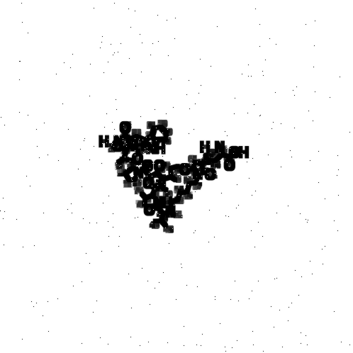 CCC(C)C(C(CC(=O)N1CCC[C@H]1C(OC)C(C)C(=O)NC(Cc1c[nH]c2ccccc12)C(N)=O)OC)N(C)C(=O)C(NC(=O)C(C(C)C)N(C)CCCCCCN1C(=O)CC(SCC(N)C(=O)O)C1=O)C(C)C